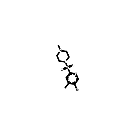 Cc1cc(S(=O)(=O)N2CCN(C)CC2)ncc1Br